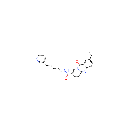 CC(C)c1ccc2nc3ccc(C(=O)NCCCCCc4cccnc4)cn3c(=O)c2c1